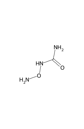 NONC(N)=O